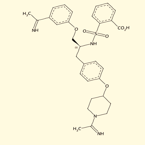 CC(=N)c1cccc(OC[C@H](Cc2ccc(OC3CCN(C(C)=N)CC3)cc2)NS(=O)(=O)c2ccccc2C(=O)O)c1